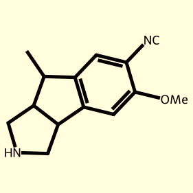 [C-]#[N+]c1cc2c(cc1OC)C1CNCC1C2C